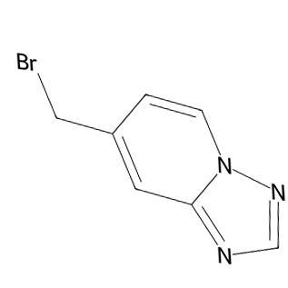 BrCc1ccn2ncnc2c1